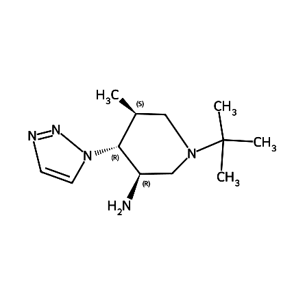 C[C@H]1CN(C(C)(C)C)C[C@@H](N)[C@@H]1n1ccnn1